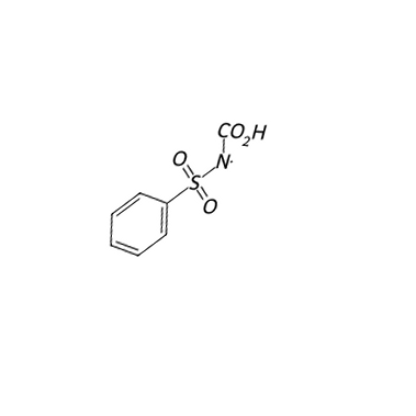 O=C(O)[N]S(=O)(=O)c1ccccc1